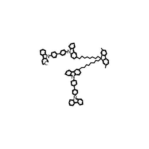 Cc1ccc2c(c1)C(CCCCCCCCc1ccc3c(c1)c1ccccc1n3-c1ccc(-c3ccc(-n4c5ccccc5c5ccccc54)cc3)cc1)(CCCCCCCCc1ccc3c(c1)c1ccccc1n3-c1ccc(-c3ccc(-n4c5ccccc5c5ccccc54)cc3)cc1)c1cc(C)ccc1-2